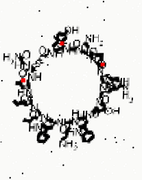 CCCC[C@H]1C(=O)N(C)[C@@H](CCCC)C(=O)N[C@@H](CC(C)C)C(=O)N[C@H](C(=O)NCC(N)=O)CSCC(=O)N[C@@H](Cc2ccc(O)cc2)C(=O)N(C)[C@@H](C)C(=O)N[C@@H](CCN)C(=O)N2CCC[C@H]2C(=O)N[C@@H](Cc2c[nH]cn2)C(=O)N[C@@H](CCCCN)C(=O)N2C[C@H](O)C[C@H]2C(=O)N[C@@H](Cc2c[nH]c3ccccc23)C(=O)N[C@@H](CCCCN)C(=O)N[C@@H](Cc2c[nH]c3ccccc23)C(=O)N1C